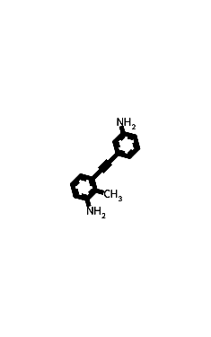 Cc1c(N)cccc1C#Cc1cccc(N)c1